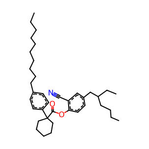 CCCCCCCCCCc1ccc(C2(C(=O)Oc3ccc(CC(CC)CCCC)cc3C#N)CCCCC2)cc1